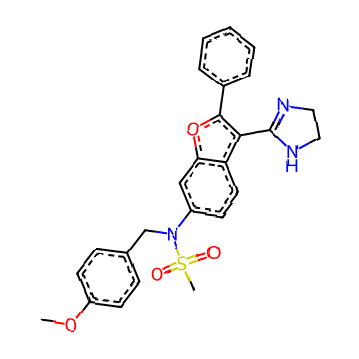 COc1ccc(CN(c2ccc3c(C4=NCCN4)c(-c4ccccc4)oc3c2)S(C)(=O)=O)cc1